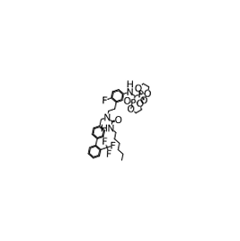 CCCCCCNC(=O)N(CCc1cc(NC(P2(=O)OCCO2)P2(=O)OCCO2)ccc1F)Cc1ccc(-c2ccccc2C(F)(F)F)cc1